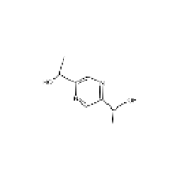 CC(O)c1cnc(C(C)O)cn1